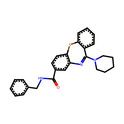 O=C(NCc1ccccc1)c1ccc2c(c1)N=C(N1CCCCC1)c1ccccc1S2